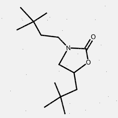 CC(C)(C)CCN1CC(CC(C)(C)C)OC1=O